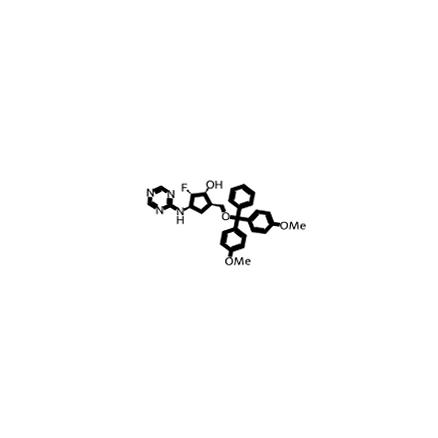 COc1ccc(C(OC[C@H]2C[C@@H](Nc3ncncn3)[C@H](F)[C@@H]2O)(c2ccccc2)c2ccc(OC)cc2)cc1